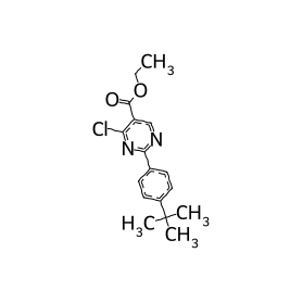 CCOC(=O)c1cnc(-c2ccc(C(C)(C)C)cc2)nc1Cl